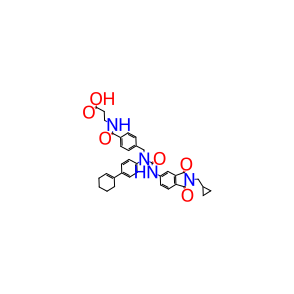 O=C(O)CCNC(=O)c1ccc(CN(C(=O)Nc2ccc3c(c2)C(=O)N(CC2CC2)C3=O)c2ccc(C3=CCCCC3)cc2)cc1